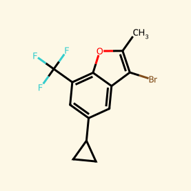 Cc1oc2c(C(F)(F)F)cc(C3CC3)cc2c1Br